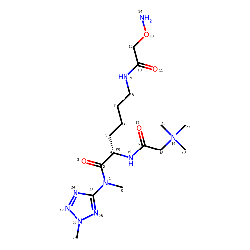 CN(C(=O)[C@H](CCCCNC(=O)CON)NC(=O)C[N+](C)(C)C)c1nnn(C)n1